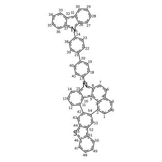 c1cc2c3c(c1)ccc1c3c3c(cccc3n1-c1ccc(-c3ccc(-n4c5ccccc5c5ccccc54)cc3)cc1)-c1cc3sc4ccccc4c3cc1-2